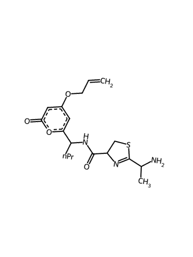 C=CCOc1cc(C(CCC)NC(=O)C2CSC(C(C)N)=N2)oc(=O)c1